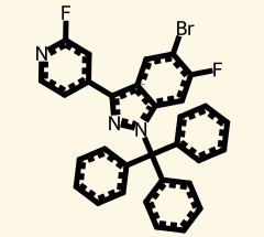 Fc1cc(-c2nn(C(c3ccccc3)(c3ccccc3)c3ccccc3)c3cc(F)c(Br)cc23)ccn1